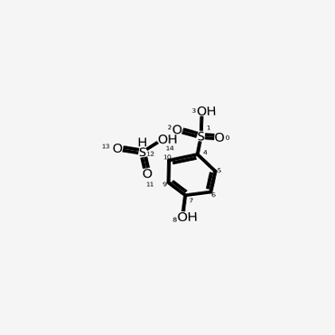 O=S(=O)(O)c1ccc(O)cc1.O=[SH](=O)O